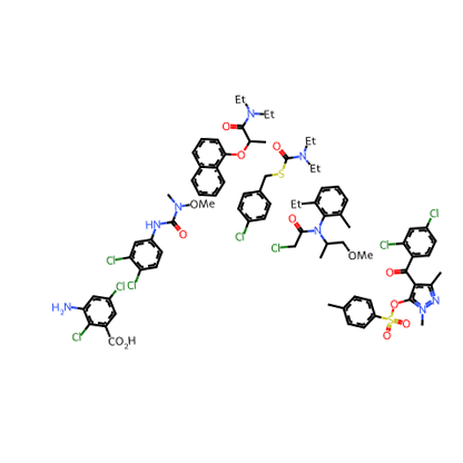 CCN(CC)C(=O)C(C)Oc1cccc2ccccc12.CCN(CC)C(=O)SCc1ccc(Cl)cc1.CCc1cccc(C)c1N(C(=O)CCl)C(C)COC.CON(C)C(=O)Nc1ccc(Cl)c(Cl)c1.Cc1ccc(S(=O)(=O)Oc2c(C(=O)c3ccc(Cl)cc3Cl)c(C)nn2C)cc1.Nc1cc(Cl)cc(C(=O)O)c1Cl